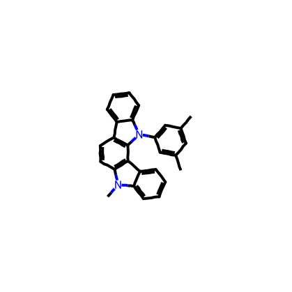 Cc1cc(C)cc(-n2c3ccccc3c3ccc4c(c5ccccc5n4C)c32)c1